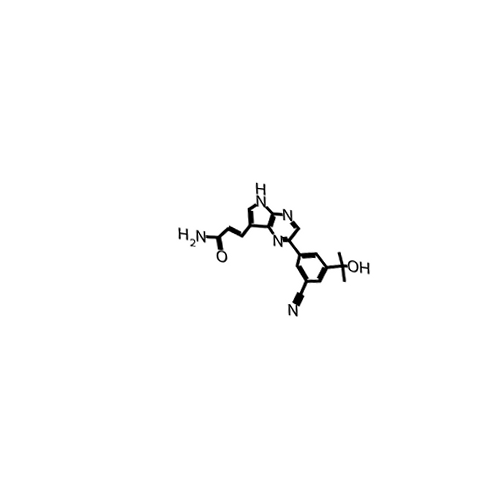 CC(C)(O)c1cc(C#N)cc(-c2cnc3[nH]cc(C=CC(N)=O)c3n2)c1